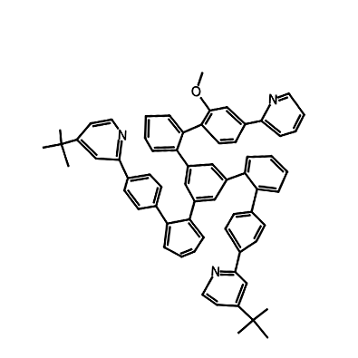 COc1cc(-c2ccccn2)ccc1-c1ccccc1-c1cc(-c2ccccc2-c2ccc(-c3cc(C(C)(C)C)ccn3)cc2)cc(-c2ccccc2-c2ccc(-c3cc(C(C)(C)C)ccn3)cc2)c1